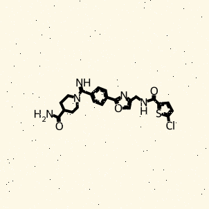 N=C(c1ccc(-c2nc(CNC(=O)c3ccc(Cl)s3)co2)cc1)N1CCC(C(N)=O)CC1